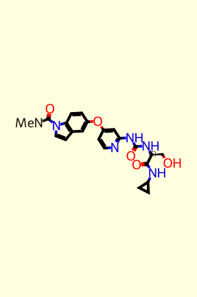 CNC(=O)n1ccc2cc(Oc3ccnc(NC(=O)N[C@@H](CO)C(=O)NC4CC4)c3)ccc21